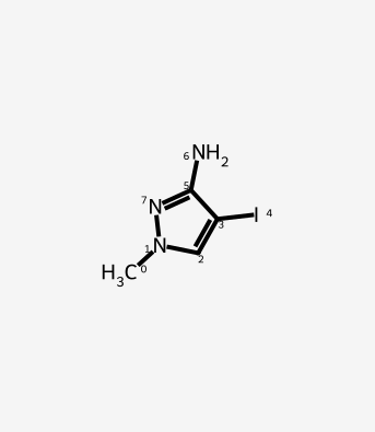 Cn1cc(I)c(N)n1